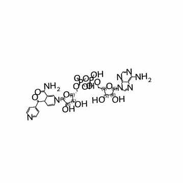 NC(=O)C1=CN([C@@H]2O[C@H](COP(=O)(O)OP(=O)(O)OC[C@H]3O[C@@H](n4cnc5c(N)ncnc54)[C@H](O)[C@@H]3O)[C@@H](O)[C@H]2O)C=CC1C(=O)c1ccncc1